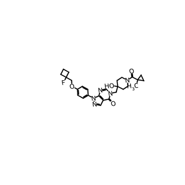 CC1(C(=O)N2CCC(O)(Cn3cnc4c(cnn4-c4ccc(OCC5(F)CCC5)cc4)c3=O)CC2)CC1